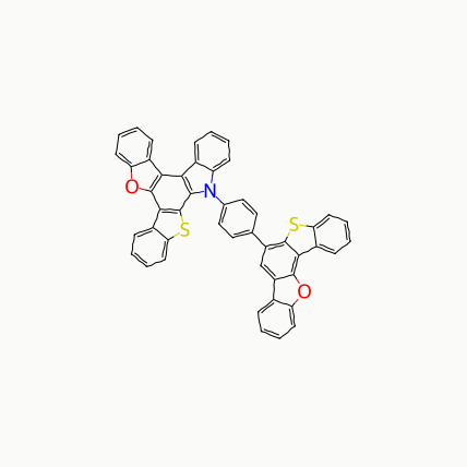 c1ccc2c(c1)oc1c2cc(-c2ccc(-n3c4ccccc4c4c5c6ccccc6oc5c5c6ccccc6sc5c43)cc2)c2sc3ccccc3c21